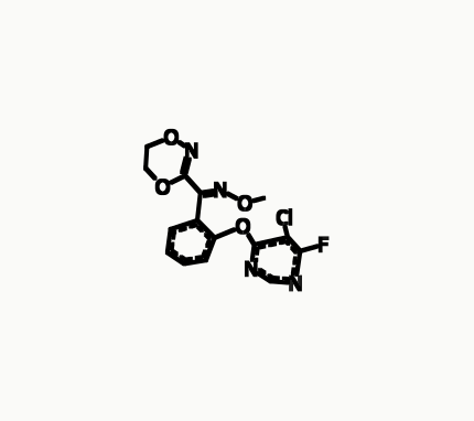 CON=C(C1=NOCCO1)c1ccccc1Oc1ncnc(F)c1Cl